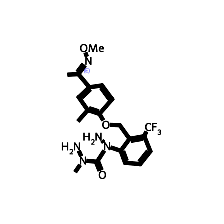 CO/N=C(\C)c1ccc(OCc2c(N(N)C(=O)N(C)N)cccc2C(F)(F)F)c(C)c1